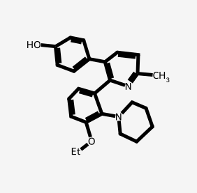 CCOc1cccc(-c2nc(C)ccc2-c2ccc(O)cc2)c1N1CCCCC1